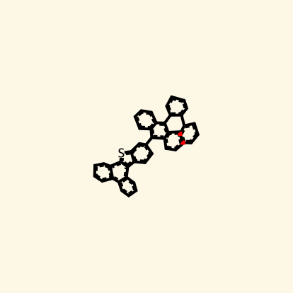 c1ccc(-c2ccccc2-c2c3ccccc3c(-c3ccc4c(c3)sc3c5ccccc5c5ccccc5c43)c3ccccc23)cc1